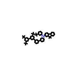 CC(C)(C)c1cc(-c2cccc(-c3cccc(N(c4cccc(C(C)(C)C)c4)c4ccc5c(c4)C(C)(C)c4ccccc4-5)c3)c2)cc(-c2cc(C(C)(C)C)cc(C(C)(C)C)c2)c1